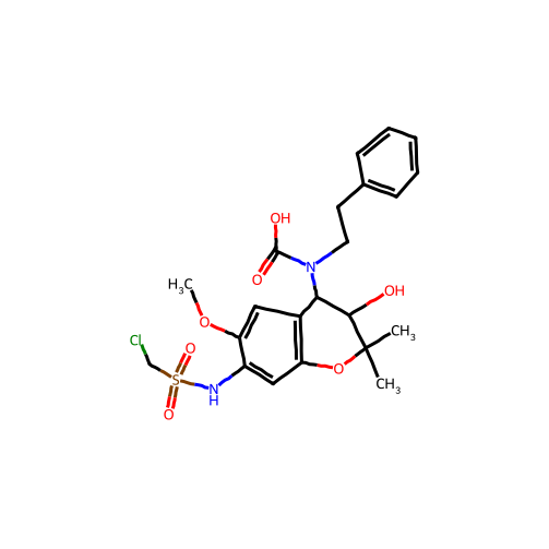 COc1cc2c(cc1NS(=O)(=O)CCl)OC(C)(C)C(O)C2N(CCc1ccccc1)C(=O)O